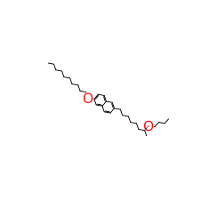 CCCCCCCCCCOc1ccc2cc(CCCCCCC(C)OCCCC)ccc2c1